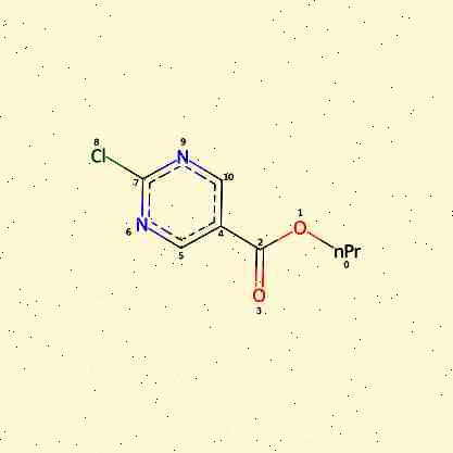 CCCOC(=O)c1cnc(Cl)nc1